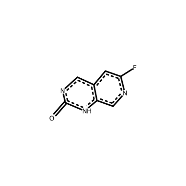 O=c1ncc2cc(F)ncc2[nH]1